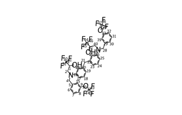 OC(CN(Cc1cccc(OC(F)(F)F)c1)c1cccc(Cc2cccc(N(Cc3cccc(OC(F)(F)F)c3)CC(O)C(F)(F)F)c2)c1)C(F)(F)F